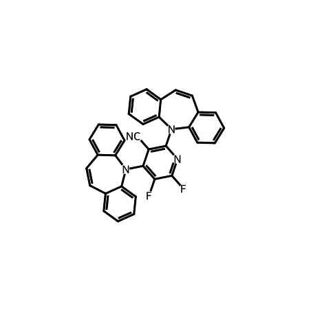 N#Cc1c(N2c3ccccc3C=Cc3ccccc32)nc(F)c(F)c1N1c2ccccc2C=Cc2ccccc21